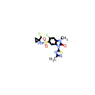 Cc1nsc(-n2c(=O)n(C)c3cc(F)c(S(=O)(=O)NC4(CF)CC4)cc32)n1